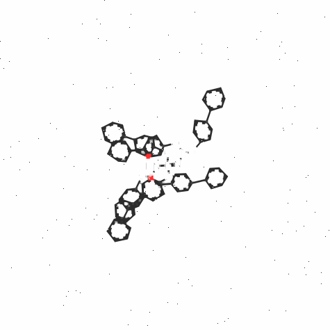 c1ccc(-c2ccc(OP(N=P(NP(Oc3ccc(-c4ccccc4)cc3)Oc3ccc(-c4ccccc4)cc3)(Oc3ccc(-c4ccccc4)cc3)Oc3ccc(-c4ccccc4)cc3)Oc3ccc(-c4ccccc4)cc3)cc2)cc1